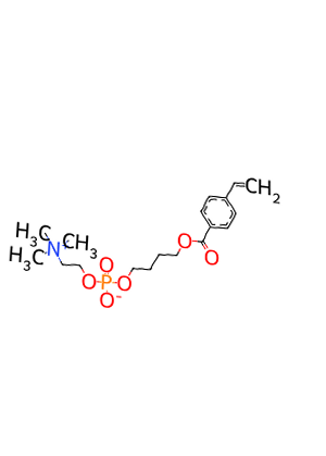 C=Cc1ccc(C(=O)OCCCCOP(=O)([O-])OCC[N+](C)(C)C)cc1